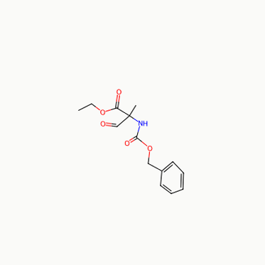 CCOC(=O)C(C)(C=O)NC(=O)OCc1ccccc1